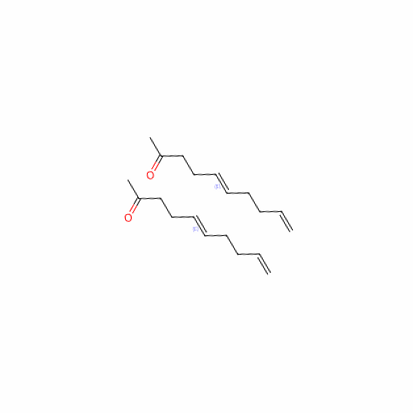 C=CCC/C=C/CCC(C)=O.C=CCC/C=C/CCC(C)=O